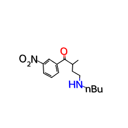 CCCCNCCC(C)C(=O)c1cccc([N+](=O)[O-])c1